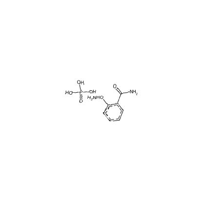 N.NC(=O)c1ccccc1O.O=P(O)(O)O